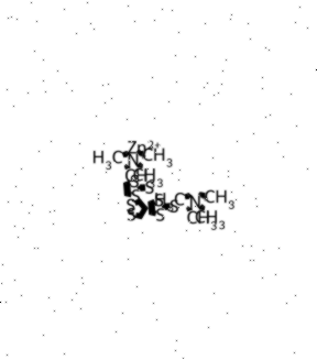 C1CSSC1.CC[N+](CC)(CC)CC.CC[N+](CC)(CC)CC.S=c1sccs1.S=c1sccs1.[Zn+2]